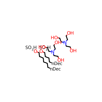 CCCCCCCCCCCCCCCCOS(=O)(=O)O.CCCCCCCCCCCCCCOS(=O)(=O)O.OCCN(CCO)CCO.OCCN(CCO)CCO